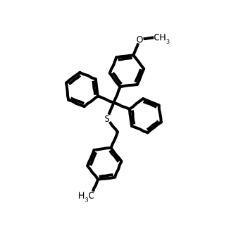 COc1ccc(C(SCc2ccc(C)cc2)(c2ccccc2)c2ccccc2)cc1